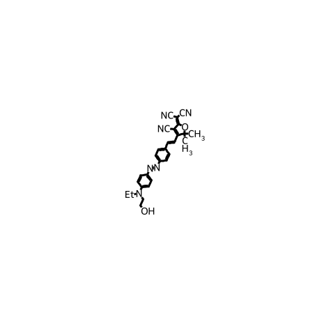 CCN(CCO)c1ccc(N=Nc2ccc(C=CC3=C(C#N)C(=C(C#N)C#N)OC3(C)C)cc2)cc1